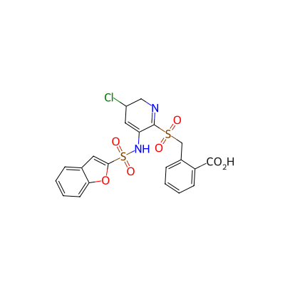 O=C(O)c1ccccc1CS(=O)(=O)C1=NCC(Cl)C=C1NS(=O)(=O)c1cc2ccccc2o1